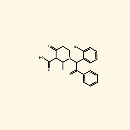 CC1C(C(=O)O)C(=O)CCN1C(C(=O)c1ccccc1)c1ccccc1Br